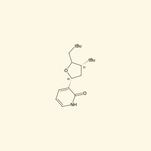 CC(C)(C)CC1O[C@@H](c2ccc[nH]c2=O)C[C@H]1C(C)(C)C